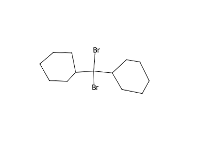 BrC(Br)(C1CCCCC1)C1CCCCC1